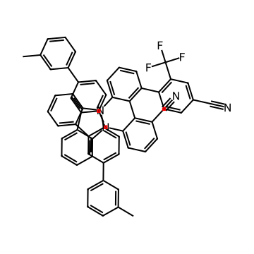 Cc1cccc(-c2ccc3c(c2)c2ccccc2n3-c2cccc(C#N)c2-c2c(-c3ccc(C#N)cc3C(F)(F)F)cccc2-n2c3ccccc3c3cc(-c4cccc(C)c4)ccc32)c1